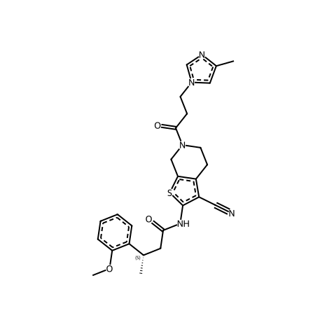 COc1ccccc1[C@@H](C)CC(=O)Nc1sc2c(c1C#N)CCN(C(=O)CCn1cnc(C)c1)C2